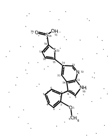 COc1ccccc1-c1c[nH]c2ncc(-c3ccc(S(=O)O)s3)cc12